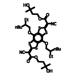 [C-]#[N+]C(C(=O)OCCC(C)(C)O)=C1Sc2c(OCC(CC)CCCC)c3c(c(OCC(CC)CCCC)c2S1)SC(=C(C#N)C(=O)OCCC(C)(C)O)S3